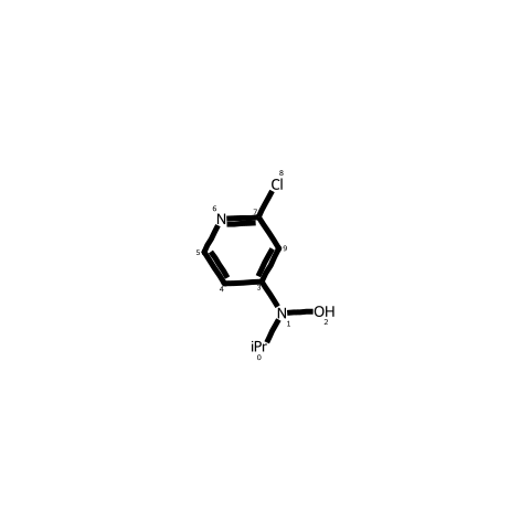 CC(C)N(O)c1ccnc(Cl)c1